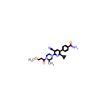 COCCC(=O)N1CCN(c2nc(C3CC3)c(-c3ccc(C(N)=O)cc3)cc2C#N)CC1C